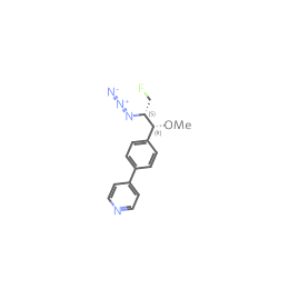 CO[C@H](c1ccc(-c2ccncc2)cc1)[C@@H](CF)N=[N+]=[N-]